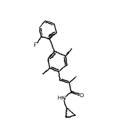 C/C(=C\c1cc(C)c(-c2ccccc2F)cc1C)C(=O)NC1CC1